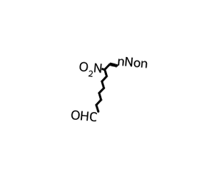 CCCCCCCCC/C=C/C(CCCCCCCC=O)[N+](=O)[O-]